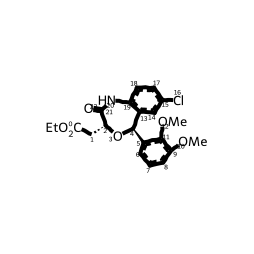 CCOC(=O)C[C@H]1O[C@H](c2cccc(OC)c2OC)c2cc(Cl)ccc2NC1=O